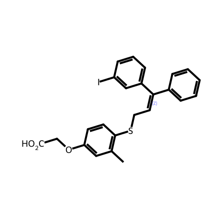 Cc1cc(OCC(=O)O)ccc1SC/C=C(/c1ccccc1)c1cccc(I)c1